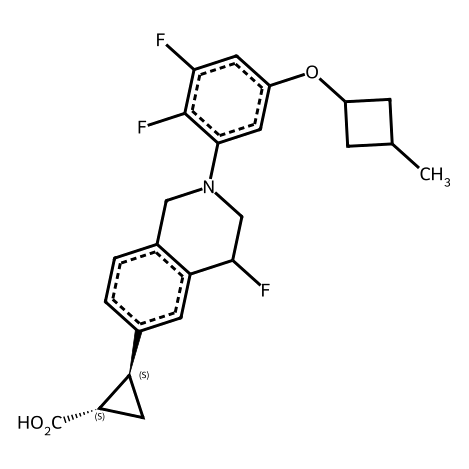 CC1CC(Oc2cc(F)c(F)c(N3Cc4ccc([C@H]5C[C@@H]5C(=O)O)cc4C(F)C3)c2)C1